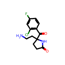 NCCC1(C(=O)c2ccc(F)cc2Cl)CCC(=O)N1